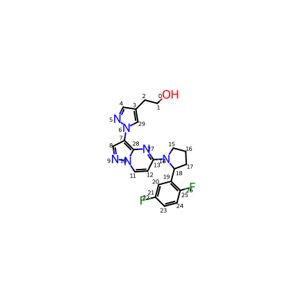 OCCc1cnn(-c2cnn3ccc(N4CCCC4c4cc(F)ccc4F)nc23)c1